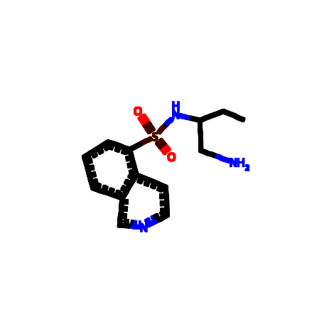 CCC(CN)NS(=O)(=O)c1cccc2cnccc12